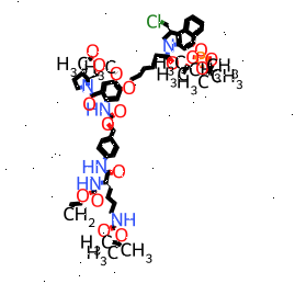 C=CCOC(=O)N[C@@H](CCCCNC(=O)OC(C)(C)C)C(=O)Nc1ccc(COC(=O)Nc2cc(OCCCCCC(=O)N3C[C@@H](CCl)c4c3cc(OP(=O)(OC(C)(C)C)OC(C)(C)C)c3ccccc43)c(OC)cc2C(=O)N2CCC[C@H]2COC(C)=O)cc1